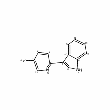 Fc1ccc(-c2c[nH]c3ccccc23)nc1